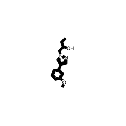 CCC(O)Cn1cc(-c2cccc(OC)c2)cn1